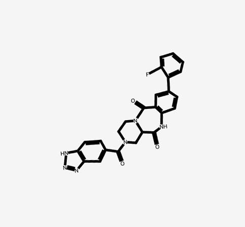 O=C1Nc2ccc(-c3ccccc3F)cc2C(=O)N2CCN(C(=O)c3ccc4[nH]nnc4c3)CC12